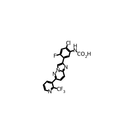 O=C(O)Nc1cc(-c2cn3nc(-c4cccnc4C(F)(F)F)ccc3n2)c(F)cc1Cl